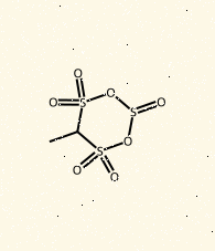 CC1S(=O)(=O)OS(=O)OS1(=O)=O